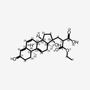 CCOC(=O)C(C[C@@]1(O)CC[C@H]2[C@@H]3C=CC4=CC(=O)CC[C@]4(C)C3=CC[C@@]21C)C(=O)O